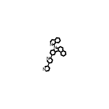 c1cncc(-c2ccc(-c3ccc4c(c3)c3c5ccccc5ccc3n4-c3nccc4ccccc34)nc2)c1